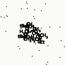 CCOC(C)OC(C)(C)CCOC(C)(C)CCC(C)(CO[Si](C)(C)C(C)(C)C)CO[Si](C)(C)C(C)(C)C